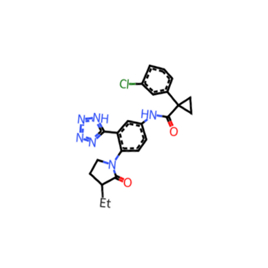 CCC1CCN(c2ccc(NC(=O)C3(c4cccc(Cl)c4)CC3)cc2-c2nnn[nH]2)C1=O